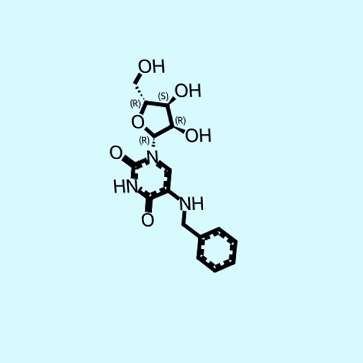 O=c1[nH]c(=O)n([C@@H]2O[C@H](CO)[C@@H](O)[C@H]2O)cc1NCc1ccccc1